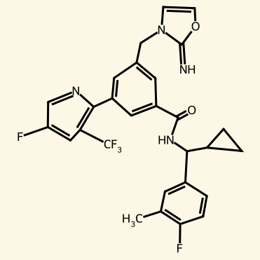 Cc1cc(C(NC(=O)c2cc(Cn3ccoc3=N)cc(-c3ncc(F)cc3C(F)(F)F)c2)C2CC2)ccc1F